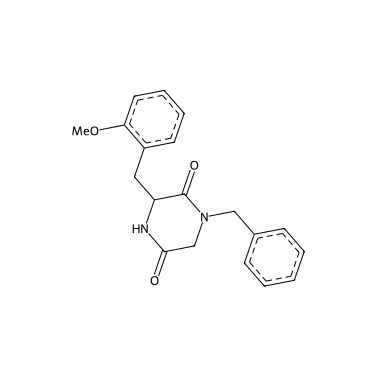 COc1ccccc1CC1NC(=O)CN(Cc2ccccc2)C1=O